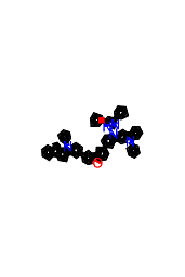 CC1(C)c2ccccc2-c2ccc3c4cc(-c5ccc6oc7ccc(-c8ccc9c(c8)c8cc%10c(cc8n9-c8nc(-c9ccccc9)cc(-c9ccccc9)n8)c8ccccc8n%10-c8ccccc8)cc7c6c5)ccc4n(-c4ccccc4)c3c21